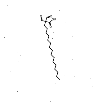 CCCCCCCCCCCCCCCCC(C=O)(C=O)C(=O)O